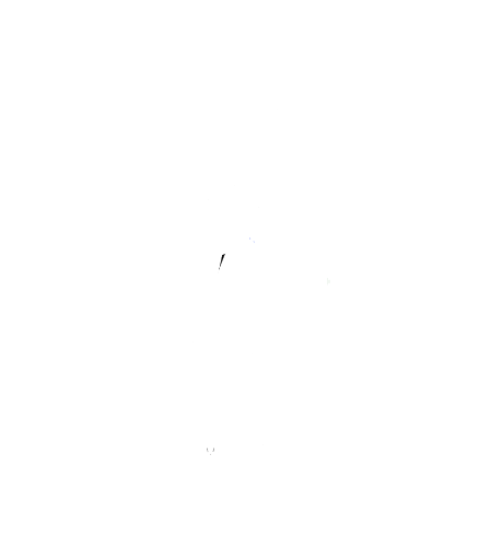 COC(=O)c1cc(C2C[C@H](CNC(C)c3cccc4ccccc34)Oc3ccccc32)ccc1C.Cl